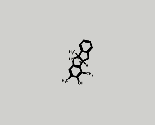 Cc1cc2c(c(C)c1O)[C@H]1Cc3ccccc3[C@@]1(C)N2